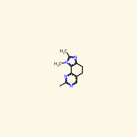 Cc1nc2c(n1C)-c1nc(I)ncc1CC2